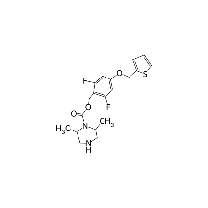 CC1CNCC(C)N1C(=O)OCc1c(F)cc(OCc2cccs2)cc1F